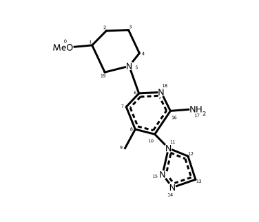 COC1CCCN(c2cc(C)c(-n3ccnn3)c(N)n2)C1